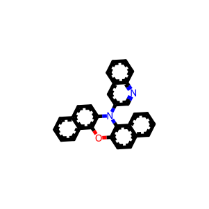 c1ccc2ncc(N3c4ccc5ccccc5c4Oc4ccc5ccccc5c43)cc2c1